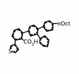 CCCCCCCCc1ccc(-c2ccc(-c3cccc(-c4ccsc4)c3C(=O)O)cc2-c2ccccc2)cc1